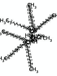 CCCCCCCCCCCCCCSc1cc(Nc2nc(Nc3cc(SCCCCCCCCCCCCCC)c(SCCCCCCCCCCCCCC)c(SCCCCCCCCCCCCCC)c3)nc(-c3ccc(CC)cc3)n2)cc(SCCCCCCCCCCCCCC)c1SCCCCCCCCCCCCCC